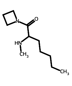 CCCCCC(NC)C(=O)N1CCC1